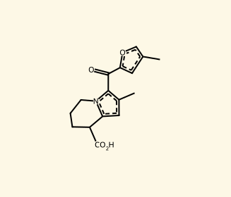 Cc1coc(C(=O)c2c(C)cc3n2CCCC3C(=O)O)c1